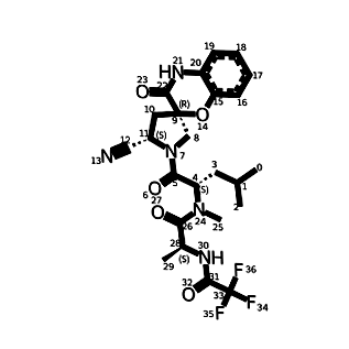 CC(C)C[C@@H](C(=O)N1C[C@@]2(C[C@H]1C#N)Oc1ccccc1NC2=O)N(C)C(=O)[C@H](C)NC(=O)C(F)(F)F